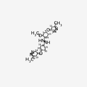 COc1cc(Oc2cnnc(C)c2)ccc1NNc1ccc(Oc2cnnc(C)c2)cc1